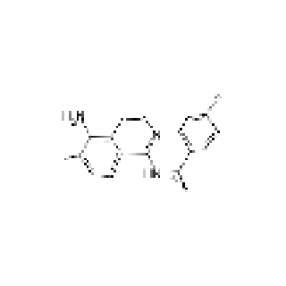 Cc1ccc2c(N[C@H](C)c3ccc(Cl)cc3)nccc2c1N